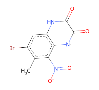 Cc1c(Br)cc2c(c1[N+](=O)[O-])[N]C(=O)C(=O)N2